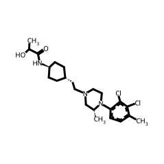 Cc1ccc(N2CCN(CC[C@H]3CC[C@H](NC(=O)C(C)O)CC3)C[C@H]2C)c(Cl)c1Cl